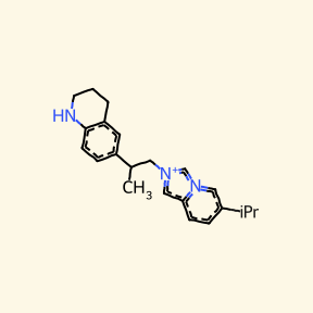 CC(C)c1ccc2c[n+](CC(C)c3ccc4c(c3)CCCN4)cn2c1